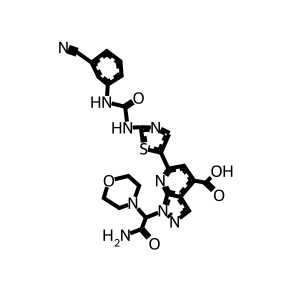 N#Cc1cccc(NC(=O)Nc2ncc(-c3cc(C(=O)O)c4cnn(C(C(N)=O)N5CCOCC5)c4n3)s2)c1